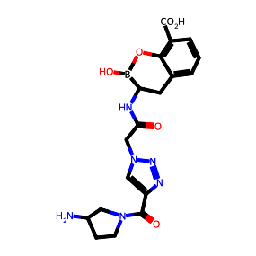 NC1CCN(C(=O)c2cn(CC(=O)NC3Cc4cccc(C(=O)O)c4OB3O)nn2)C1